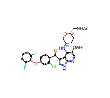 COc1cnc2[nH]cc(C(=O)c3ccc(Oc4c(F)cccc4F)cc3Cl)c2c1N[C@@H]1CC[C@@H](CNC(C)=O)OC1